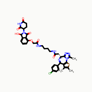 Cc1sc2c(c1C)C(c1ccc(Cl)cc1)=N[C@H](CC(=O)NCCCCNC(=O)COc1cccc3c1C(=O)N(C1CCC(=O)NC1=O)C3O)c1nnc(C)n1-2